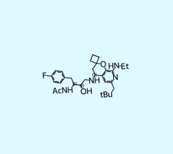 CCNc1nc(CC(C)(C)C)cc2c1OC1(CCC1)C[C@@H]2NC[C@@H](O)[C@H](Cc1ccc(F)cc1)NC(C)=O